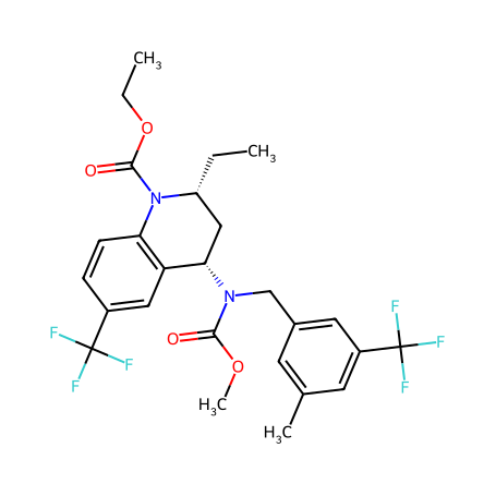 CCOC(=O)N1c2ccc(C(F)(F)F)cc2[C@@H](N(Cc2cc(C)cc(C(F)(F)F)c2)C(=O)OC)C[C@H]1CC